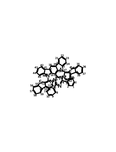 c1ccc(-c2nc(-c3ccccc3)nc(-c3c4c(cc5c6ccccc6n(-c6nccc7c6sc6ccccc67)c35)c3ccccc3n4-c3nccc4c3sc3ccccc34)n2)cc1